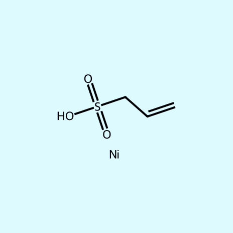 C=CCS(=O)(=O)O.[Ni]